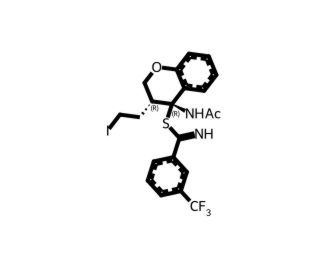 CC(=O)N[C@]1(SC(=N)c2cccc(C(F)(F)F)c2)c2ccccc2OC[C@H]1CCI